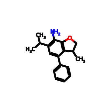 CC(C)c1cc(-c2ccccc2)c2c(c1N)OCC2C